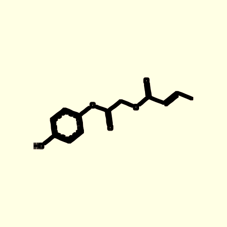 CC=CC(=O)OCC(=O)Oc1ccc(O)cc1